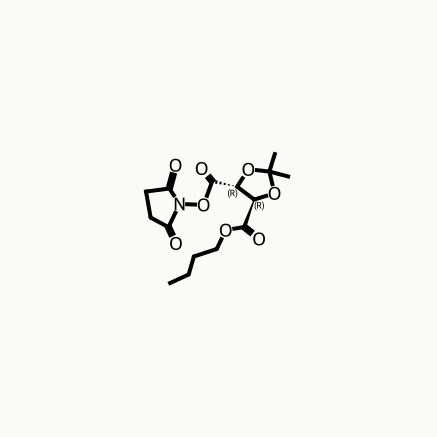 CCCCOC(=O)[C@@H]1OC(C)(C)O[C@H]1C(=O)ON1C(=O)CCC1=O